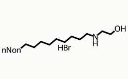 Br.CCCCCCCCCCCCCCCCCCNCCO